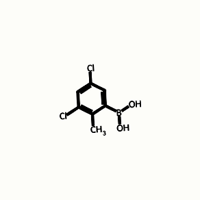 Cc1c(Cl)cc(Cl)cc1B(O)O